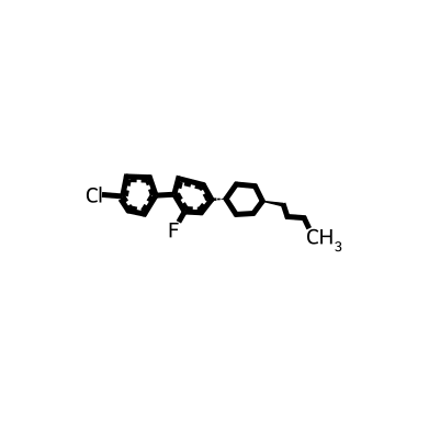 CCCC[C@H]1CC[C@H](c2ccc(-c3ccc(Cl)cc3)c(F)c2)CC1